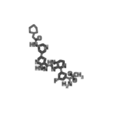 CS(=O)(=O)C(N)c1cc(F)cc(-c2nccc3[nH]c(-c4n[nH]c5ncc(-c6cncc(NC(=O)CC7CCCCC7)c6)cc45)nc23)c1